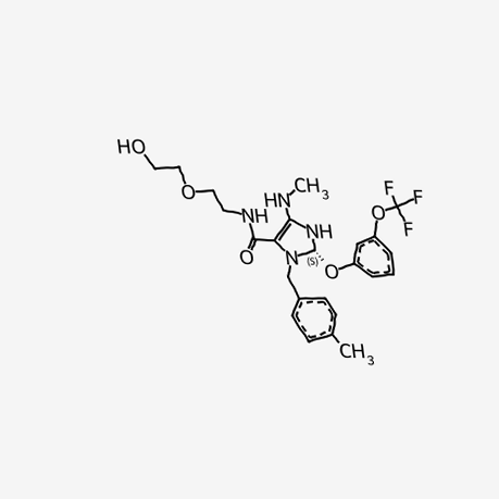 CNC1=C(C(=O)NCCOCCO)N(Cc2ccc(C)cc2)[C@@H](Oc2cccc(OC(F)(F)F)c2)N1